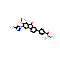 COc1cc2c(cc1-n1cnc(C)c1)-c1ccc(-c3ccc(C(=O)N(C)C)cc3)cc1C2=O